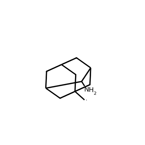 [CH2]C12CC3CC(C1)C(N)C(C3)C2